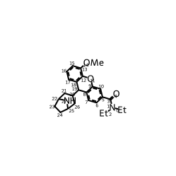 CCN(CC)C(=O)c1ccc2c(c1)Oc1c(OC)cccc1C2C1CC2CCC(C1)N2